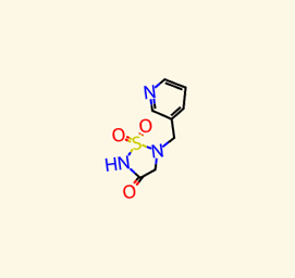 O=C1CN(Cc2cccnc2)S(=O)(=O)N1